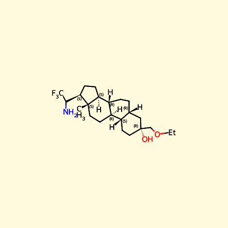 CCOC[C@@]1(O)CC[C@H]2[C@H](CC[C@@H]3[C@@H]2CC[C@]2(C)[C@@H](C(N)C(F)(F)F)CC[C@@H]32)C1